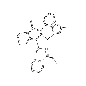 CC[C@H](NC(=O)c1c(Cn2cc(C)cn2)n(-c2ccccc2)c(=O)c2ccccc12)c1ccccc1